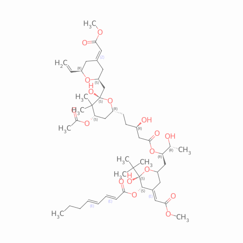 C=C[C@H]1C/C(=C\C(=O)OC)C[C@@H](C[C@]2(O)O[C@H](CC[C@@H](O)CC(=O)O[C@H](CC3C/C(=C\C(=O)OC)[C@H](OC(=O)/C=C/C=C/CCC)[C@](O)(C(C)(C)C)O3)[C@@H](C)O)C[C@H](OC(C)=O)C2(C)C)O1